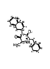 C[C@H](N)C(=O)N(C(=O)OCc1ccccc1)c1ccc2ncccc2c1